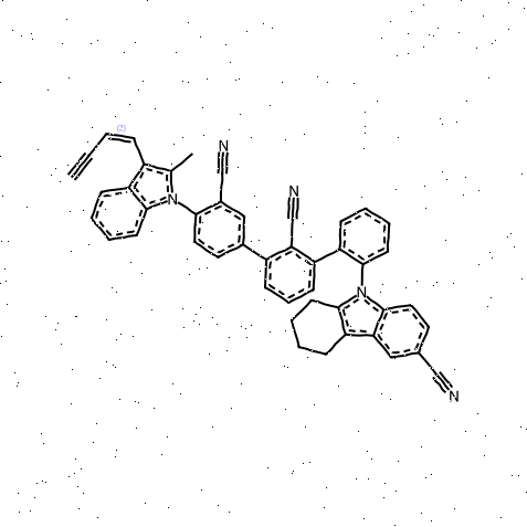 C#C/C=C\c1c(C)n(-c2ccc(-c3cccc(-c4ccccc4-n4c5c(c6cc(C#N)ccc64)CCCC5)c3C#N)cc2C#N)c2ccccc12